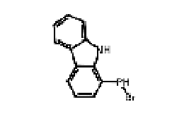 BrPc1cccc2c1[nH]c1ccccc12